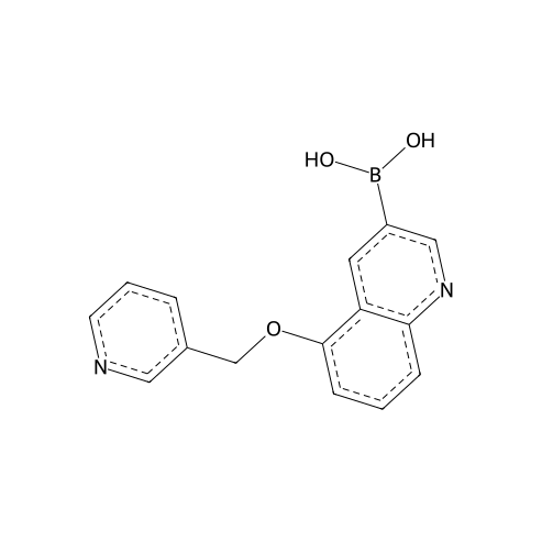 OB(O)c1cnc2cccc(OCc3cccnc3)c2c1